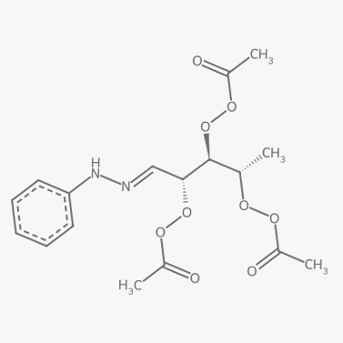 CC(=O)OO[C@@H]([C@H](C)OOC(C)=O)[C@@H](/C=N/Nc1ccccc1)OOC(C)=O